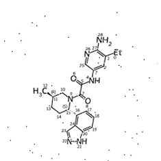 CCc1cc(NC(=O)C(=O)N2C[C@H](C)CC[C@H]2c2cccc3[nH]ncc23)cnc1N